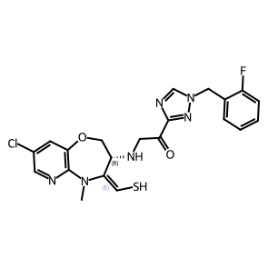 CN1/C(=C/S)[C@@H](NCC(=O)c2ncn(Cc3ccccc3F)n2)COc2cc(Cl)cnc21